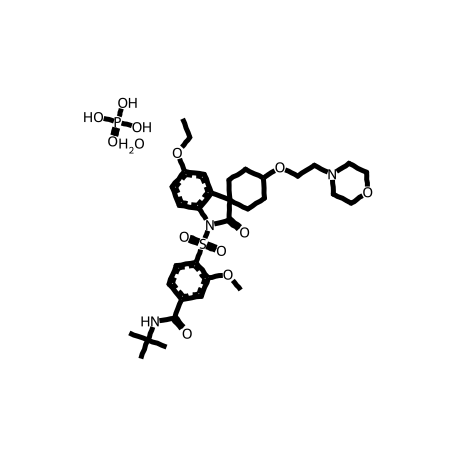 CCOc1ccc2c(c1)C1(CCC(OCCN3CCOCC3)CC1)C(=O)N2S(=O)(=O)c1ccc(C(=O)NC(C)(C)C)cc1OC.O.O=P(O)(O)O